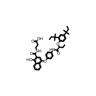 CCC(Oc1ccc(C(C)(C)CC)cc1C(C)(C)CC)C(=O)Nc1ccc(Oc2cc(C(=O)NCCC(=O)O)c(O)c3ccccc23)cc1